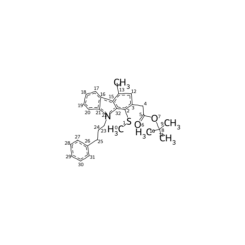 CSc1c(CC(=O)OC(C)(C)C)cc(C)c2c3ccccc3n(CCCc3ccccc3)c12